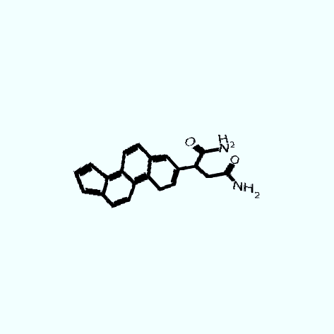 NC(=O)CC(C(N)=O)C1=CCc2c(ccc3c4c(ccc23)=CC=C4)=C1